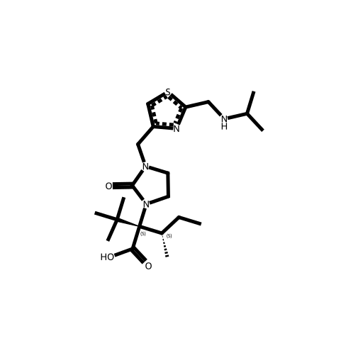 CC[C@H](C)[C@](C(=O)O)(N1CCN(Cc2csc(CNC(C)C)n2)C1=O)C(C)(C)C